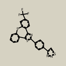 FC(F)(F)c1ccc2c(c1)Sc1ccccc1-c1sc(-c3ccc(-c4csnn4)cc3)nc1-2